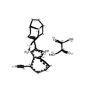 CCCN1C2C=C(c3cc4c(C#N)cccc4[nH]3)CC1CC2.O=C(O)C(=O)O